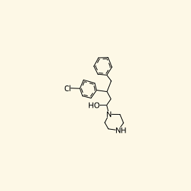 OC(CC(Cc1ccccc1)c1ccc(Cl)cc1)N1CCNCC1